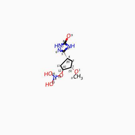 CO[C@H]1C[C@@H](c2n[nH]c(=O)[nH]2)C[C@@H]1ON(O)O